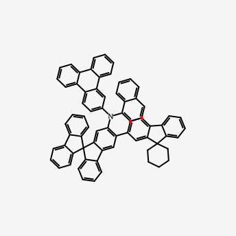 c1ccc2c(c1)-c1ccc(-c3cc4c(cc3N(c3ccc5c6ccccc6c6ccccc6c5c3)c3cccc5ccccc35)C3(c5ccccc5-c5ccccc53)c3ccccc3-4)cc1C21CCCCC1